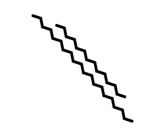 CCCCCCCCCCCCCC.CCCCCCCCCCCCCCCCCCCC